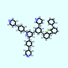 c1ccc(-c2cccc3c2sc2c(-c4cc(-c5cccnc5)cc(-c5cc(-c6ccc(-c7ccncc7)cc6)nc(-c6ccc(-c7ccncc7)cc6)c5)c4)cccc23)cc1